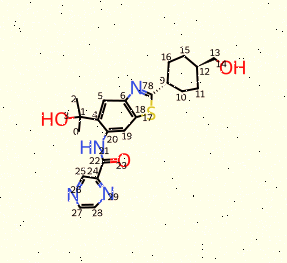 CC(C)(O)c1cc2nc([C@H]3CC[C@H](CO)CC3)sc2cc1NC(=O)c1cnccn1